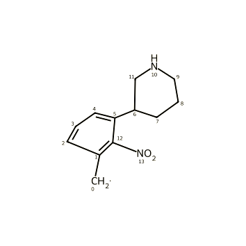 [CH2]c1cccc(C2CCCNC2)c1[N+](=O)[O-]